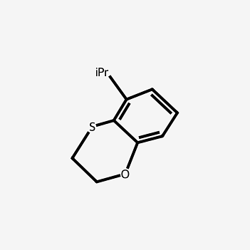 CC(C)c1cccc2c1SCCO2